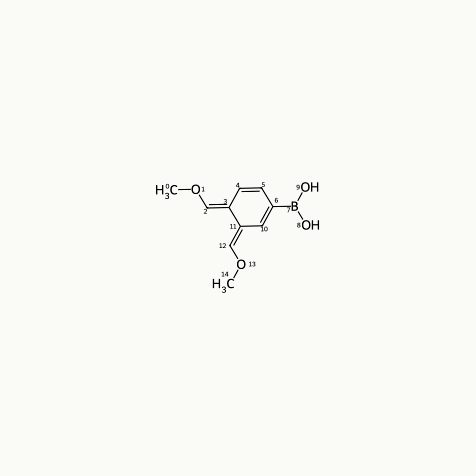 COC=c1ccc(B(O)O)cc1=COC